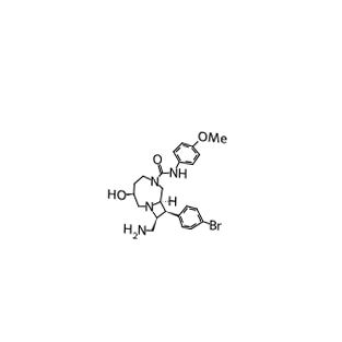 COc1ccc(NC(=O)N2CC[C@H](O)CN3[C@H](CN)[C@H](c4ccc(Br)cc4)[C@@H]3C2)cc1